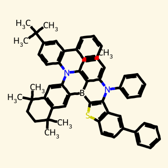 Cc1cc2c3c(c1)N(c1ccccc1)c1c(sc4ccc(-c5ccccc5)cc14)B3c1cc3c(cc1N2c1ccc(C(C)(C)C)cc1-c1ccccc1)C(C)(C)CCC3(C)C